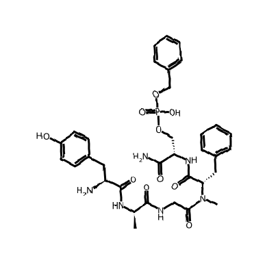 C[C@@H](NC(=O)[C@@H](N)Cc1ccc(O)cc1)C(=O)NCC(=O)N(C)[C@@H](Cc1ccccc1)C(=O)N[C@@H](COP(=O)(O)OCc1ccccc1)C(N)=O